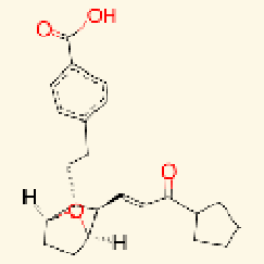 O=C(O)c1ccc(CC[C@@H]2[C@@H](/C=C/C(=O)C3CCCC3)[C@H]3CC[C@@H]2O3)cc1